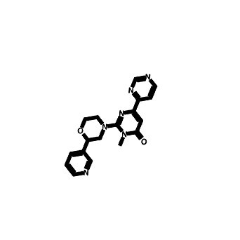 Cn1c(N2CCOC(c3cccnc3)C2)nc(-c2ccncn2)cc1=O